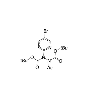 CC(=O)N(C(=O)OC(C)(C)C)N(C(=O)OC(C)(C)C)c1ccc(Br)cn1